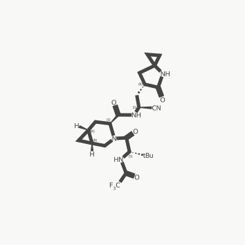 CC(C)(C)[C@H](NC(=O)C(F)(F)F)C(=O)N1C[C@@H]2C[C@@H]2C[C@H]1C(=O)N[C@H](C#N)C[C@@H]1CC2(CC2)NC1=O